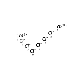 [Cl-].[Cl-].[Cl-].[Cl-].[Cl-].[Cl-].[Tm+3].[Yb+3]